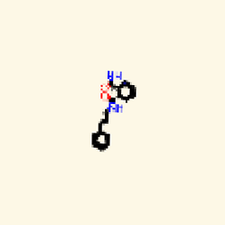 NC(=O)[C@H]1CCCC[C@H]1C(=O)NCCCc1ccccc1